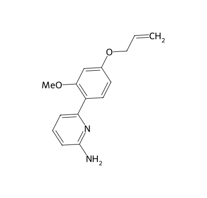 C=CCOc1ccc(-c2cccc(N)n2)c(OC)c1